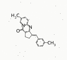 Cc1cccc(C=C2CCc3c2nc2ccc(C)cn2c3=O)c1